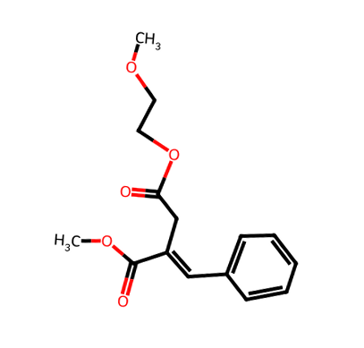 COCCOC(=O)C/C(=C\c1ccccc1)C(=O)OC